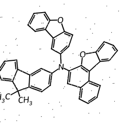 CC1(C)c2ccccc2-c2cc(N(c3ccc4oc5ccccc5c4c3)c3cc4ccccc4c4c3oc3ccccc34)ccc21